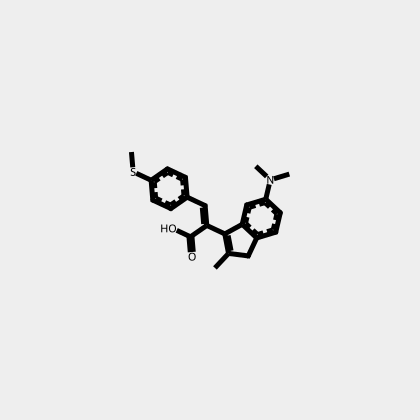 CSc1ccc(C=C(C(=O)O)C2=C(C)Cc3ccc(N(C)C)cc32)cc1